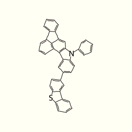 c1ccc(-n2c3ccc(-c4ccc5sc6ccccc6c5c4)cc3c3c4cccc5c4c(cc32)-c2ccccc2-5)cc1